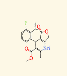 C=C(C)c1c(F)cccc1C1C(C(=O)OC)=C(C)NC2=C1C(=O)OC2